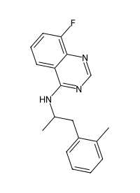 Cc1ccccc1CC(C)Nc1ncnc2c(F)cccc12